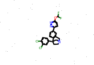 FC(F)Oc1ccc(-c2ccc3c(c2)CN2CCC3(c3ccc(Cl)c(Cl)c3)CC2)nn1